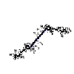 CC1=C(O)C(C(O)COC(=O)CCC(=O)OC2CC(C)(C)C(/C=C/C(C)=C/C=C/C(C)=C/C=C/C=C(C)/C=C/C=C(C)/C=C/C3=C(C)C(=O)C(OC(=O)CCC(=O)OCC(O)C4OC(=O)C(O)=C4C)CC3(C)C)=C(C)C2=O)OC1=O